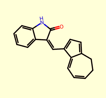 O=C1Nc2ccccc2C1=CC1=CC=C2CCC=CC=C12